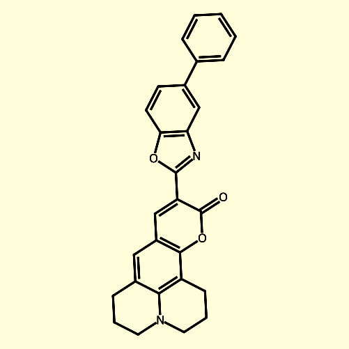 O=c1oc2c3c4c(cc2cc1-c1nc2cc(-c5ccccc5)ccc2o1)CCCN4CCC3